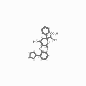 CCCC(C(=O)O)C1(c2ccccc2)CC(O)=C(Oc2ccccc2C2CCCC2)C(=O)O1